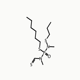 CCCCCCSP(=O)(N(C)C=S)N(C)SCCC